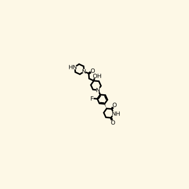 O=C1CC[C@H](c2ccc(N3CCC(O)(CC(=O)N4CCNCC4)CC3)c(F)c2)C(=O)N1